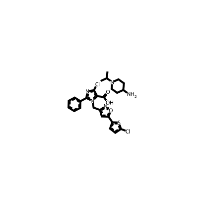 CC(C)N1CCC(N)CC1.O=C(O)c1c(Cl)nc(-c2ccccc2)n1Cc1cc(-c2ccc(Cl)s2)on1